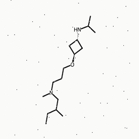 CCC(C)CN(C)CCCO[C@H]1C[C@H](NC(C)C)C1